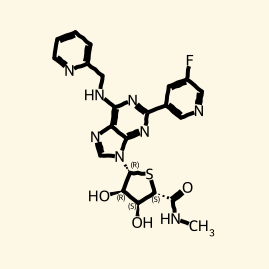 CNC(=O)[C@H]1S[C@@H](n2cnc3c(NCc4ccccn4)nc(-c4cncc(F)c4)nc32)[C@H](O)[C@@H]1O